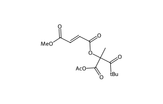 COC(=O)C=CC(=O)OC(C)(C(=O)OC(C)=O)C(=O)C(C)(C)C